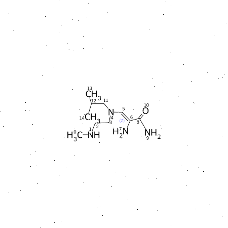 CNCCN(/C=C(\N)C(N)=O)CC(C)C